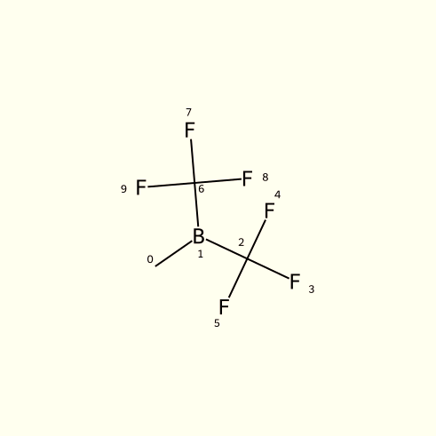 CB(C(F)(F)F)C(F)(F)F